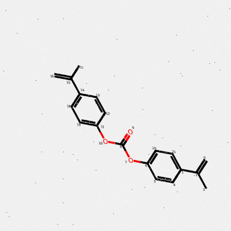 C=C(C)c1ccc(OC(=O)Oc2ccc(C(=C)C)cc2)cc1